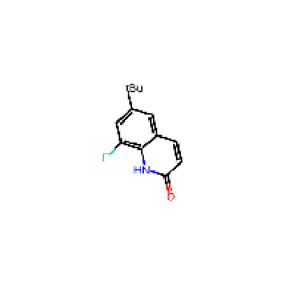 CC(C)(C)c1cc(F)c2[nH]c(=O)ccc2c1